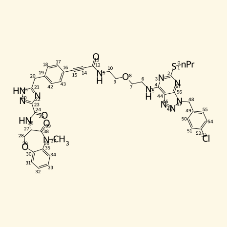 CCCSc1nc(NCCOCCNC(=O)C#Cc2ccc(Cc3nc(C(=O)N[C@H]4COc5ccccc5N(C)C4=O)n[nH]3)cc2)c2nnn(Cc3ccc(Cl)cc3)c2n1